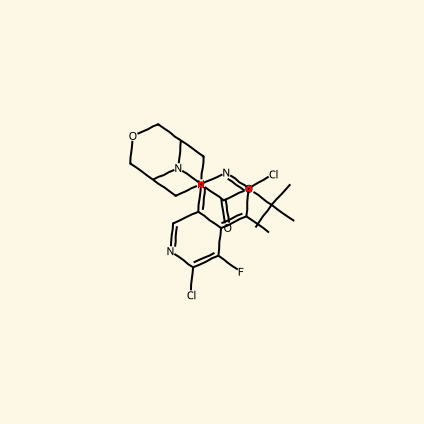 Cc1c(Cl)nc(N2C3COCC2CN(C(=O)OC(C)(C)C)C3)c2cnc(Cl)c(F)c12